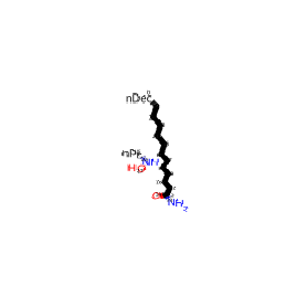 CCCCCCCCCCCCCCCCCCCCCC(N)=O.CCCNO